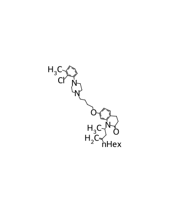 C=C(CCCCCC)CC(C)N1C(=O)CCc2ccc(OCCCCN3CCN(c4cccc(C)c4Cl)CC3)cc21